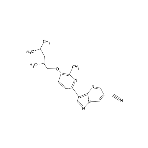 Cc1nc(-c2cnn3cc(C#N)cnc23)ccc1OCC(C)CC(C)C